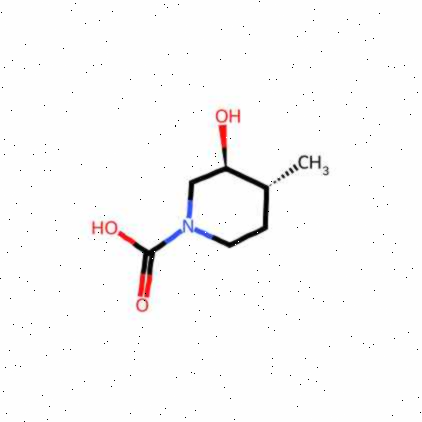 C[C@@H]1CCN(C(=O)O)C[C@H]1O